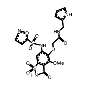 COc1c(OCC(=O)NCc2ccc[nH]2)c(NS(=O)(=O)c2ccno2)cc2c1C(=O)NS2(=O)=O